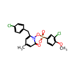 COc1ccc(S(=O)(=O)On2c(Cc3ccc(Cl)cc3)cc(C)cc2=O)cc1Cl